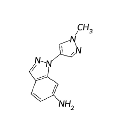 Cn1cc(-n2ncc3ccc(N)cc32)cn1